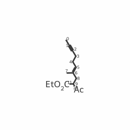 CC#CCC/C=C(\C)CC(C(C)=O)C(=O)OCC